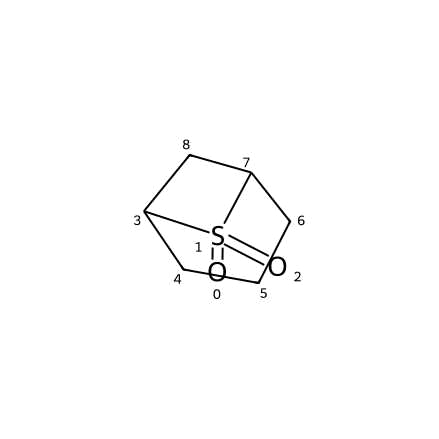 O=S1(=O)C2CCCC1C2